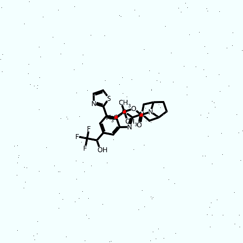 CC(C)(C)OC(=O)N1C2CCC1CN(c1nc3cc(C(O)C(F)(F)F)cc(-c4nccs4)c3o1)C2